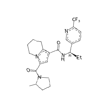 CC[C@@H](NC(=O)c1cc(C(=O)N2CCCC2C)n2c1CCCC2)c1ccc(C(F)(F)F)nc1